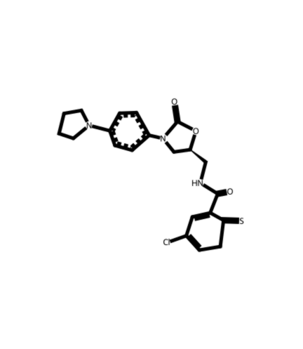 O=C(NC[C@H]1CN(c2ccc(N3CCCC3)cc2)C(=O)O1)C1=CC(Cl)=CCC1=S